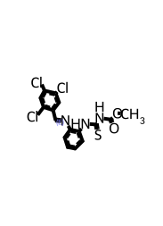 COC(=O)NC(=S)Nc1ccccc1/N=C/c1cc(Cl)c(Cl)cc1Cl